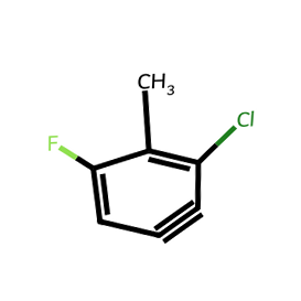 Cc1c(Cl)c#ccc1F